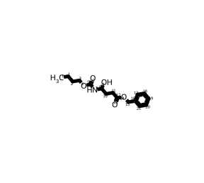 CCCCOC(=O)NC(O)CCC(=O)OCc1ccccc1